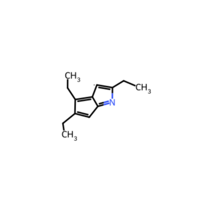 CCC1=[C]C2=C(CC)C(CC)=CC2=N1